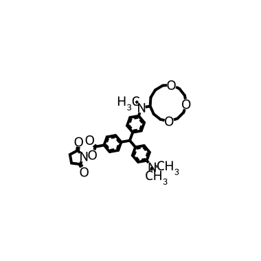 CN(C)c1ccc(C(c2ccc(C(=O)ON3C(=O)CCC3=O)cc2)c2ccc(N(C)C3CCCOCCOCCOCC3)cc2)cc1